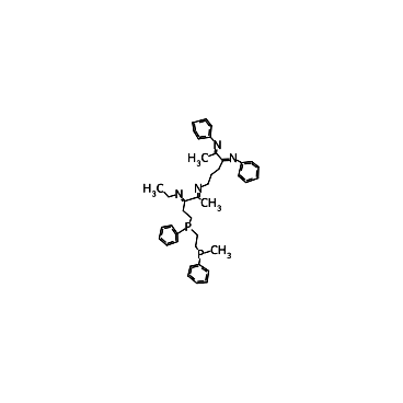 CC/N=C(CCP(CCP(C)c1ccccc1)c1ccccc1)/C(C)=N/CCCC(=N\c1ccccc1)/C(C)=N/c1ccccc1